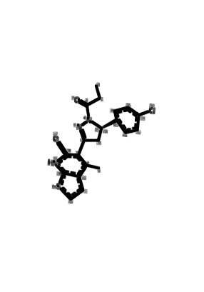 CCC(=O)N1N=C(c2c(C)c3ccsc3[nH]c2=O)C[C@@H]1c1ccc(Cl)cc1